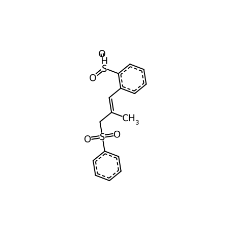 CC(=Cc1ccccc1[SH](=O)=O)CS(=O)(=O)c1ccccc1